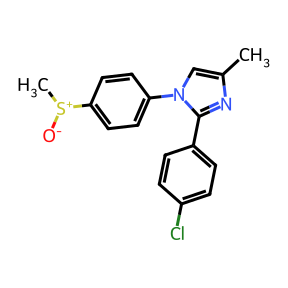 Cc1cn(-c2ccc([S+](C)[O-])cc2)c(-c2ccc(Cl)cc2)n1